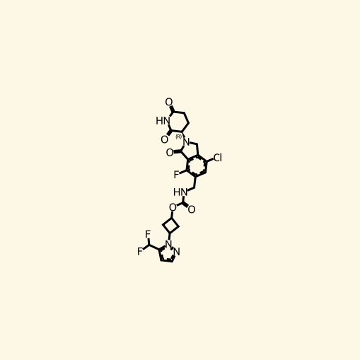 O=C1CC[C@@H](N2Cc3c(Cl)cc(CNC(=O)OC4CC(n5nccc5C(F)F)C4)c(F)c3C2=O)C(=O)N1